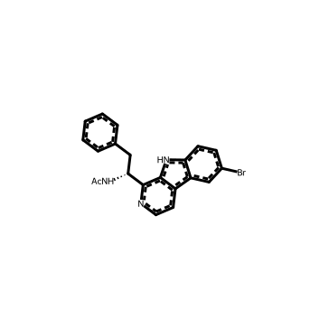 CC(=O)N[C@H](Cc1ccccc1)c1nccc2c1[nH]c1ccc(Br)cc12